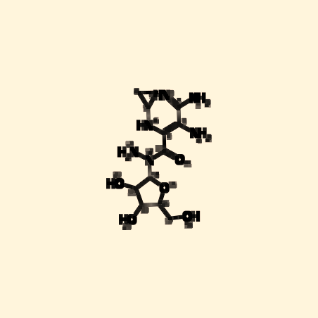 N=C(N)/C(N)=C(\NC1CC1)C(=O)N(N)C1OC(CO)C(O)C1O